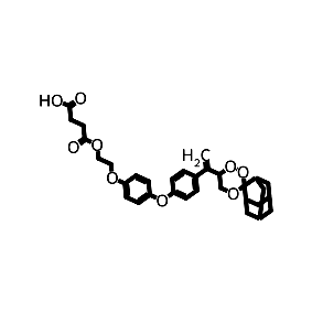 C=C(c1ccc(Oc2ccc(OCCOC(=O)CCC(=O)O)cc2)cc1)C1COC2(OO1)C1CC3CC(C1)CC2C3